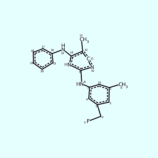 Cc1cc(CF)cc(Nc2ncc(C)c(Nc3ccccc3)n2)c1